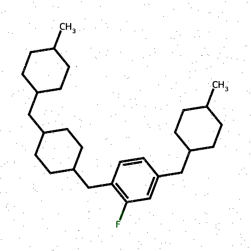 CC1CCC(Cc2ccc(CC3CCC(CC4CCC(C)CC4)CC3)c(F)c2)CC1